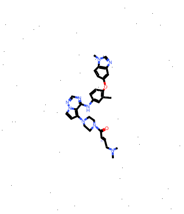 Cc1cc(Nc2ncnn3ccc(N4CCN(C(=O)/C=C/CN(C)C)CC4)c23)ccc1Oc1ccc2c(c1)ncn2C